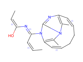 C\C=C/C(=N\C(O)=C/C)n1c2c(C)n3c(C)c(nc13)/C=C\CC/C=C\2